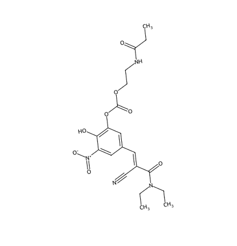 CCC(=O)NCCOC(=O)Oc1cc(/C=C(\C#N)C(=O)N(CC)CC)cc([N+](=O)[O-])c1O